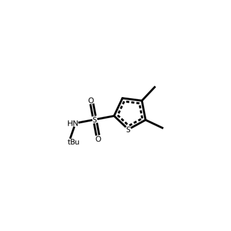 Cc1cc(S(=O)(=O)NC(C)(C)C)sc1C